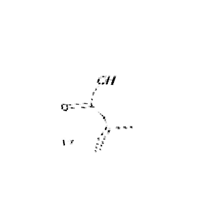 C=C(C)C(=O)O.[Tb]